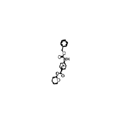 O=C(NC12CCC(C(=O)OC3CCCCO3)(CC1)CC2)OCc1ccccc1